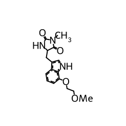 COCCOc1cccc2c(CC3NC(=O)N(C)C3=O)c[nH]c12